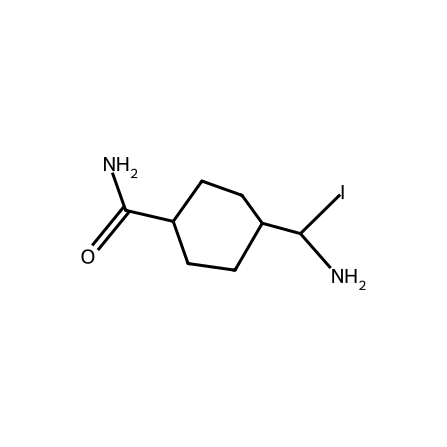 NC(=O)C1CCC(C(N)I)CC1